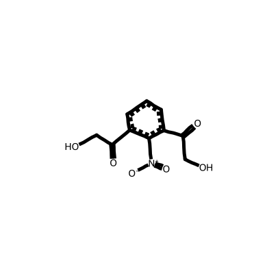 O=C(CO)c1cccc(C(=O)CO)c1[N+](=O)[O-]